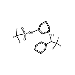 Cc1ccccc1.O=S(=O)(O)C(F)(F)F.OC(c1ccccc1)C(F)(F)F